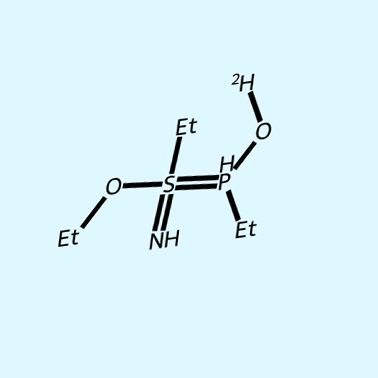 [2H]O[PH](CC)=S(=N)(CC)OCC